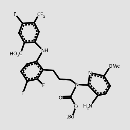 COc1ccc(N)c(N(CCCc2c(Nc3cc(C(F)(F)F)c(F)cc3C(=O)O)ccc(F)c2F)C(=O)OC(C)(C)C)n1